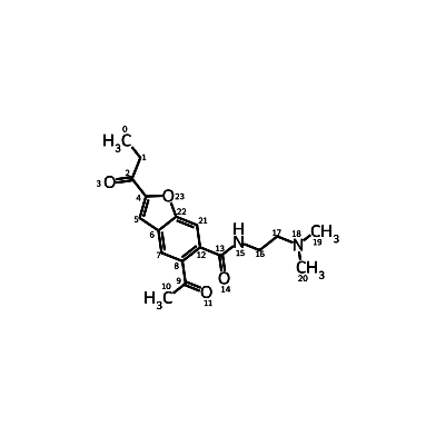 CCC(=O)c1cc2cc(C(C)=O)c(C(=O)NCCN(C)C)cc2o1